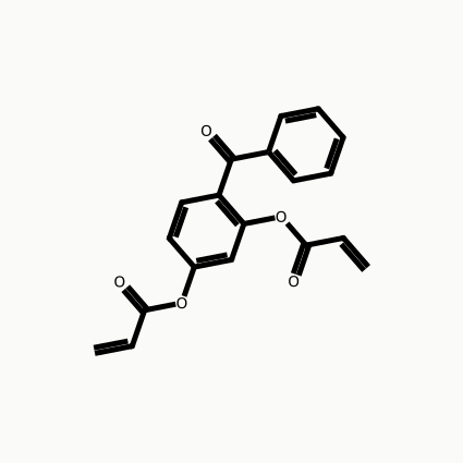 C=CC(=O)Oc1ccc(C(=O)c2ccccc2)c(OC(=O)C=C)c1